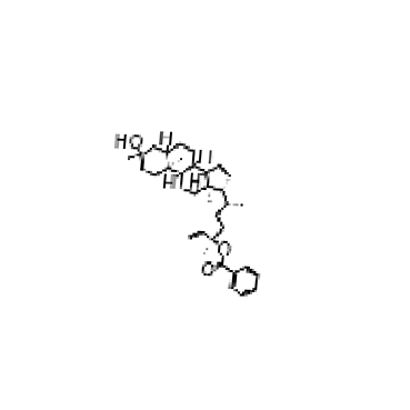 C=C[C@@](C)(CC[C@@H](C)[C@H]1CC[C@H]2[C@@H]3CC[C@H]4C[C@@](C)(O)CC[C@]4(C)[C@H]3CC[C@]12C)OC(=O)c1ccccc1